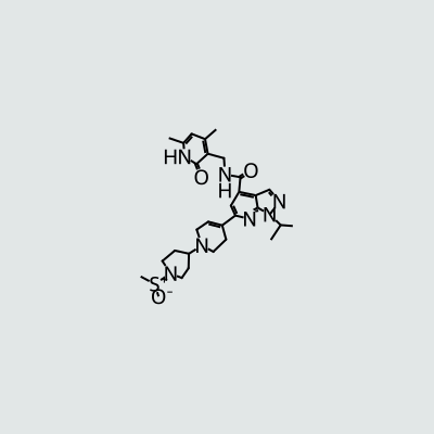 Cc1cc(C)c(CNC(=O)c2cc(C3=CCN(C4CCN([S+](C)[O-])CC4)CC3)nc3c2cnn3C(C)C)c(=O)[nH]1